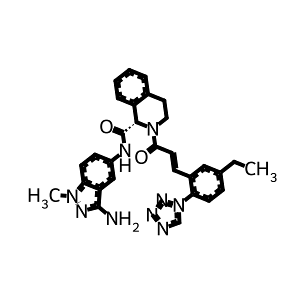 CCc1ccc(-n2cnnn2)c(/C=C/C(=O)N2CCc3ccccc3[C@H]2C(=O)Nc2ccc3c(c2)c(N)nn3C)c1